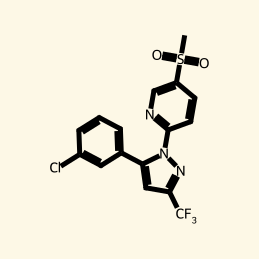 CS(=O)(=O)c1ccc(-n2nc(C(F)(F)F)cc2-c2cccc(Cl)c2)nc1